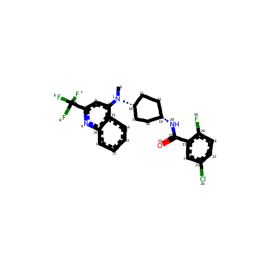 CN(c1cc(C(F)(F)F)nc2ccccc12)[C@H]1CC[C@@H](NC(=O)c2cc(Cl)ccc2F)CC1